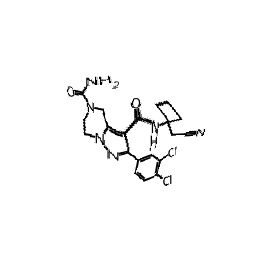 N#CCC1(NC(=O)c2c(-c3ccc(Cl)c(Cl)c3)nn3c2CN(C(N)=O)CC3)CCC1